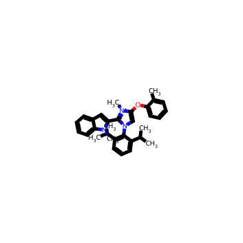 Cc1ccccc1Oc1cn(-c2c(C(C)C)cccc2C(C)C)c(-c2cc3ccccc3n2C)[n+]1C